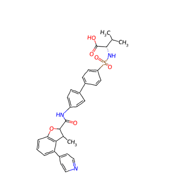 CC1c2c(cccc2-c2ccncc2)OC1C(=O)Nc1ccc(-c2ccc(S(=O)(=O)N[C@H](C(=O)O)C(C)C)cc2)cc1